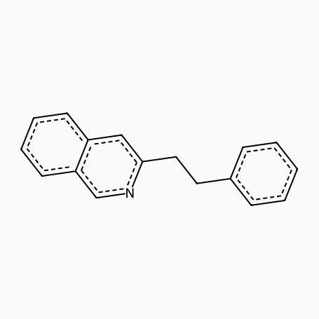 c1ccc(CCc2cc3ccccc3cn2)cc1